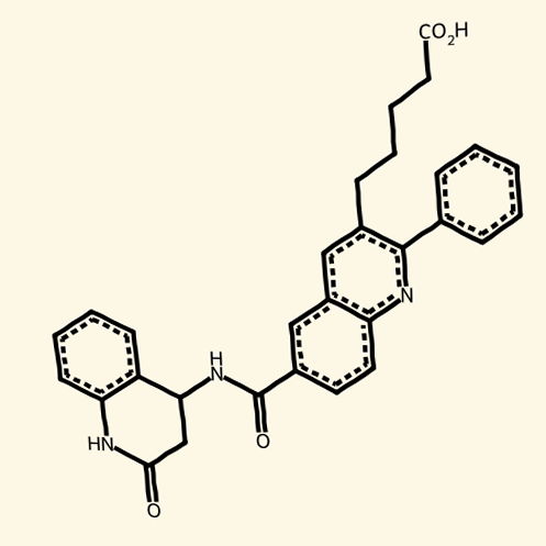 O=C(O)CCCCc1cc2cc(C(=O)NC3CC(=O)Nc4ccccc43)ccc2nc1-c1ccccc1